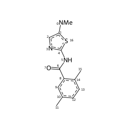 CNc1cnc(NC(=O)c2cc(C)ccc2C)s1